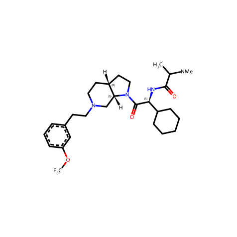 CNC(C)C(=O)N[C@H](C(=O)N1CC[C@H]2CCN(CCc3cccc(OC(F)(F)F)c3)C[C@H]21)C1CCCCC1